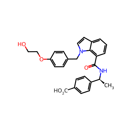 C[C@H](NC(=O)c1cccc2ccn(Cc3ccc(OCCO)cc3)c12)c1ccc(C(=O)O)cc1